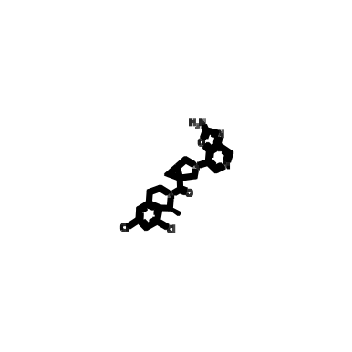 C[C@H]1c2c(Cl)cc(Cl)cc2CCN1C(=O)C12CC1CN(c1cncc3nc(N)oc13)C2